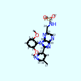 COc1cccc(OC)c1-n1c(-c2cncc(C)c2)nc2ncc(CN[SH](=O)=O)nc21